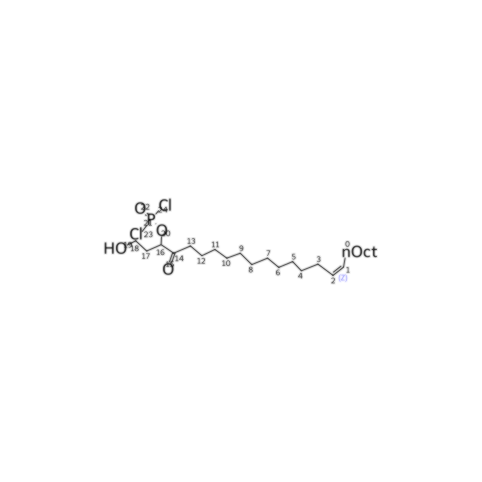 CCCCCCCC/C=C\CCCCCCCCCCCC(=O)C(CCO)OP(=O)(Cl)Cl